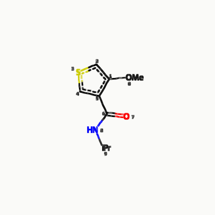 COc1cscc1C(=O)NC(C)C